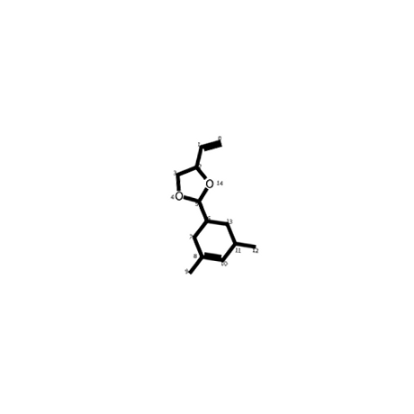 C=CC1COC(C2CC(C)=CC(C)C2)O1